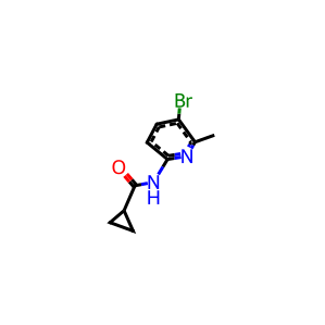 Cc1nc(NC(=O)C2CC2)ccc1Br